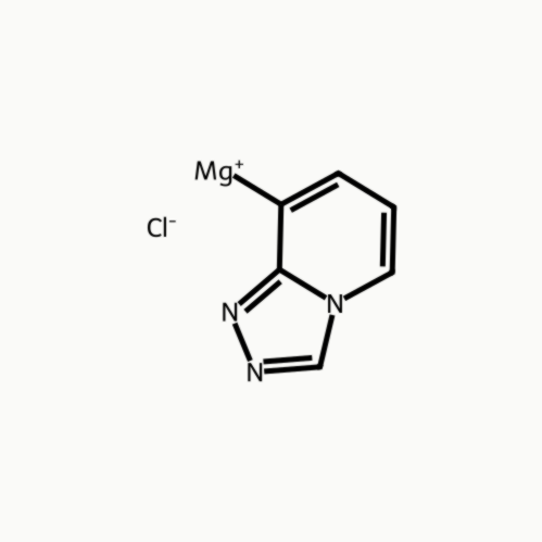 [Cl-].[Mg+][c]1cccn2cnnc12